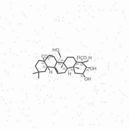 CC1(C)CC[C@]2(C(=O)O)CC[C@]3(CO)C(=CC[C@@H]4[C@@]5(C)C[C@H](O)[C@H](O)[C@@](C)(C(=O)O)[C@@H]5CC[C@]43C)[C@@H]2C1